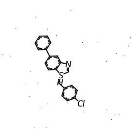 Clc1ccc(C[SH]2C=Nc3cc(-c4ccccc4)ccc32)cc1